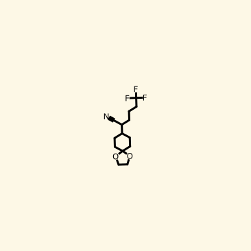 N#CC(CCCC(F)(F)F)C1CCC2(CC1)OCCO2